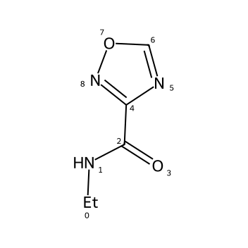 CCNC(=O)c1ncon1